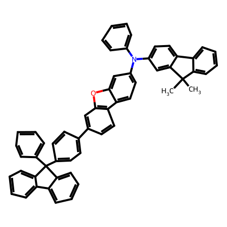 CC1(C)c2ccccc2-c2ccc(N(c3ccccc3)c3ccc4c(c3)oc3cc(-c5ccc(C6(c7ccccc7)c7ccccc7-c7ccccc76)cc5)ccc34)cc21